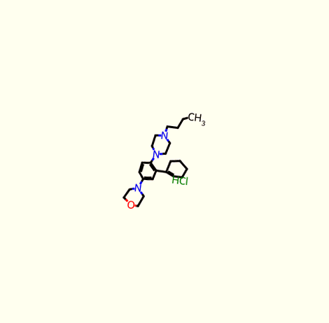 CCCCN1CCN(c2ccc(N3CCOCC3)cc2C2=CCCCC2)CC1.Cl